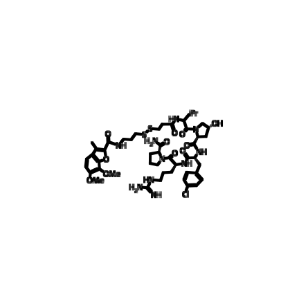 COc1ccc2c(C)c(C(=O)NCCCSSCCC(=O)NC(C(=O)N3C[C@H](O)C[C@H]3C(=O)N[C@@H](Cc3ccc(Cl)cc3)C(=O)N[C@@H](CCCNC(=N)N)C(=O)N3CCC[C@H]3C(N)=O)C(C)C)oc2c1OC